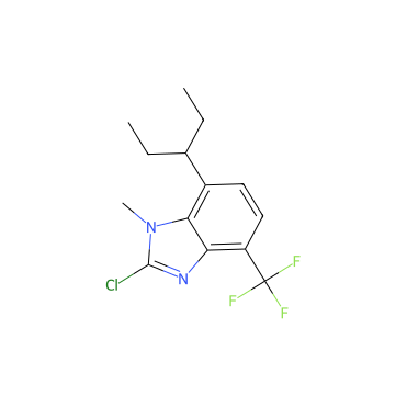 CCC(CC)c1ccc(C(F)(F)F)c2nc(Cl)n(C)c12